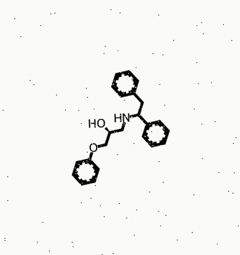 O[C@@H](CNC(Cc1ccccc1)c1ccccc1)COc1ccccc1